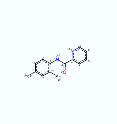 CCc1ccc(NC(=O)c2ccccn2)c(C(C)=O)c1